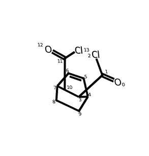 O=C(Cl)C1C2C=CC(CC2)C1C(=O)Cl